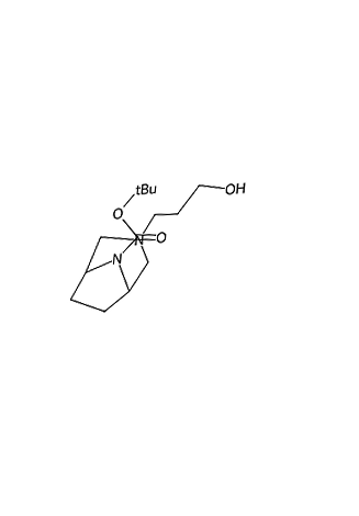 CC(C)(C)OC(=O)N1C2CCC1CN(CCCO)C2